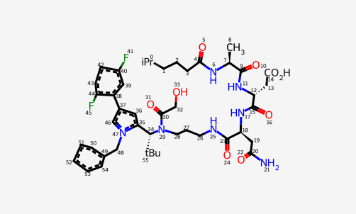 CC(C)CCCC(=O)N[C@@H](C)C(=O)N[C@H](CC(=O)O)C(=O)N[C@@H](CC(N)=O)C(=O)NCCCN(C(=O)CO)[C@@H](c1cc(-c2cc(F)ccc2F)cn1Cc1ccccc1)C(C)(C)C